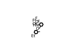 CCc1ccc(OCc2cccc(F)c2NC(=O)OC(F)F)c(C)c1